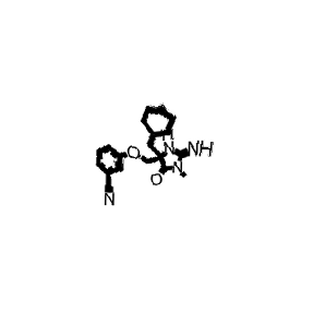 CN1C(=N)NC(COc2cccc(C#N)c2)(CC2CCCCC2)C1=O